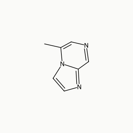 Cc1cncc2nccn12